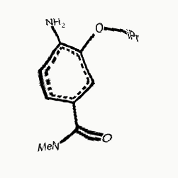 CNC(=O)c1ccc(N)c(OC(C)C)c1